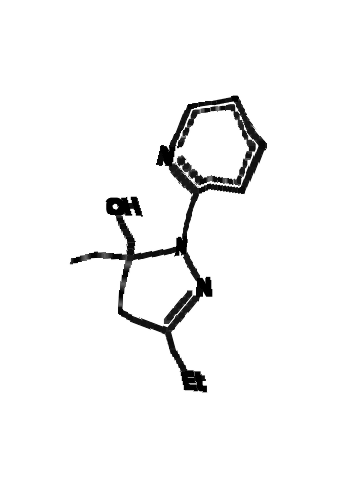 CCC1=NN(c2ccccn2)C(C)(O)C1